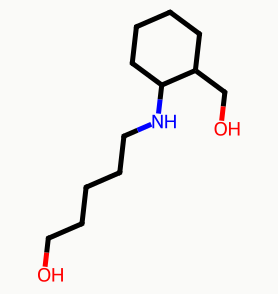 OCCCCCNC1CCCCC1CO